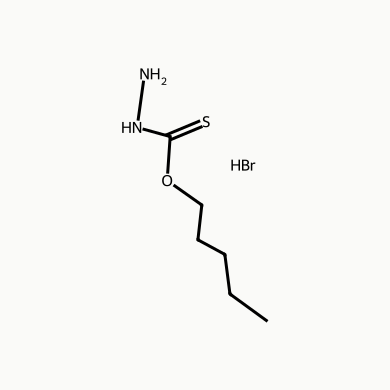 Br.CCCCCOC(=S)NN